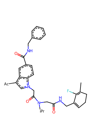 CC(=O)c1cn(CC(=O)N(CC(=O)NCC2=CCCC(C)=C2F)C(C)C)c2ccc(C(=O)NCc3ccccc3)cc12